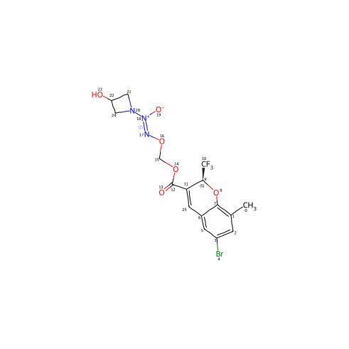 Cc1cc(Br)cc2c1O[C@H](C(F)(F)F)C(C(=O)OCO/N=[N+](\[O-])N1CC(O)C1)=C2